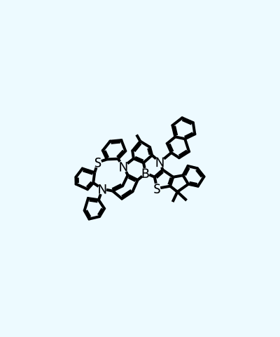 Cc1cc2c3c(c1)N(c1ccc4ccccc4c1)c1c(sc4c1-c1ccccc1C4(C)C)B3c1ccc3cc1N2c1ccccc1Sc1ccccc1N3c1ccccc1